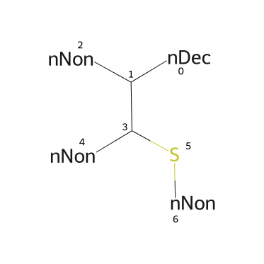 CCCCCCCCCCC(CCCCCCCCC)C(CCCCCCCCC)SCCCCCCCCC